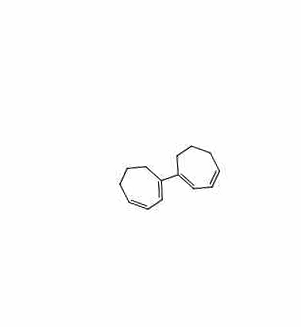 C1=CCCCC(C2=CC=CCCC2)=C1